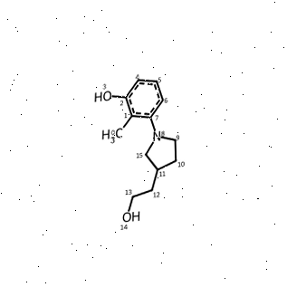 Cc1c(O)cccc1N1CCC(CCO)C1